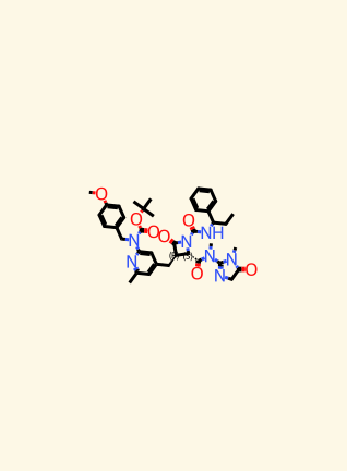 CCC(NC(=O)N1C(=O)[C@H](Cc2cc(C)nc(N(Cc3ccc(OC)cc3)C(=O)OC(C)(C)C)c2)[C@H]1C(=O)N(C)C1=NCC(=O)N1C)c1ccccc1